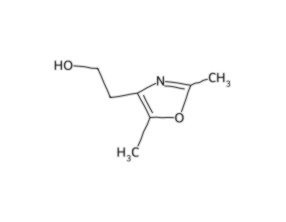 Cc1nc(CCO)c(C)o1